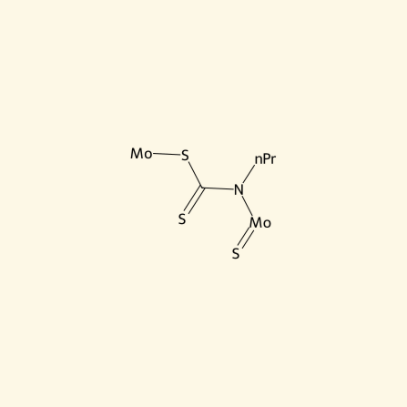 CCC[N]([Mo]=[S])C(=S)[S][Mo]